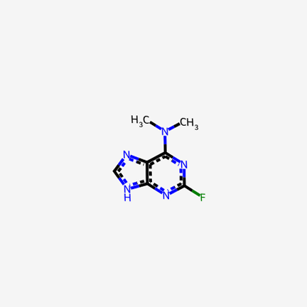 CN(C)c1nc(F)nc2[nH]cnc12